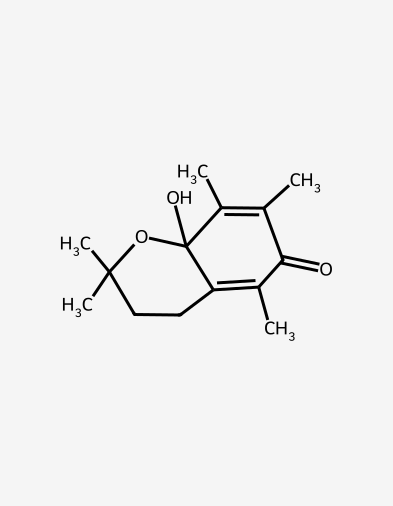 CC1=C(C)C2(O)OC(C)(C)CCC2=C(C)C1=O